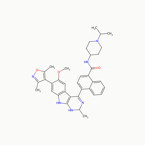 COc1cc2c3c([nH]c2cc1-c1c(C)noc1C)NC(C)N=C3c1ccc(C(=O)NC2CCN(C(C)C)CC2)c2ccccc12